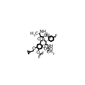 [CH2]C1=C([C@H](C)N)OC(c2ccc(OC(F)F)c(OCC3CC3)c2)N1[C@@H](C(=O)NS(C)(=O)=O)c1ccc(F)cc1F